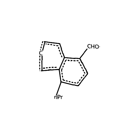 CCCc1ccc([C]=O)c2ccccc12